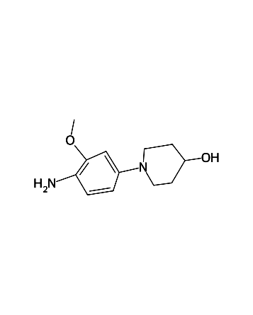 COc1cc(N2CCC(O)CC2)ccc1N